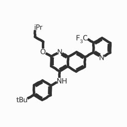 CC(C)CCOc1cc(Nc2ccc(C(C)(C)C)cc2)c2ccc(-c3ncccc3C(F)(F)F)cc2n1